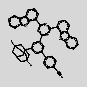 N#Cc1ccc(-c2cc(-c3nc(-c4cccc5c4oc4ccccc45)nc(-c4cccc5c4oc4ccccc45)n3)cc(C34CC5C[C@H](C3)C[C@@H](C5)C4)c2)cc1